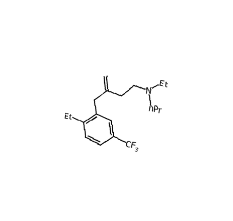 C=C(CCN(CC)CCC)Cc1cc(C(F)(F)F)ccc1CC